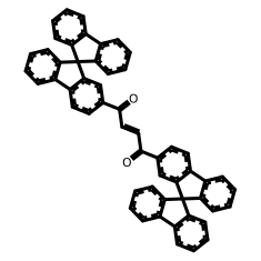 O=C(/C=C/C(=O)c1ccc2c(c1)C1(c3ccccc3-c3ccccc31)c1ccccc1-2)c1ccc2c(c1)C1(c3ccccc3-c3ccccc31)c1ccccc1-2